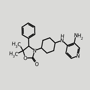 CC1(C)OC(=O)N(C2CCC(Nc3ccncc3N)CC2)C1c1ccccc1